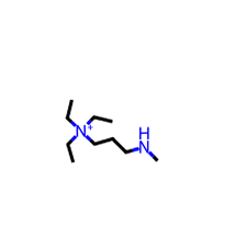 CC[N+](CC)(CC)CCCNC